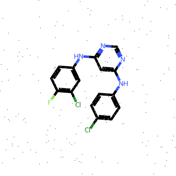 Fc1ccc(Nc2cc(Nc3ccc(Cl)cc3)ncn2)cc1Cl